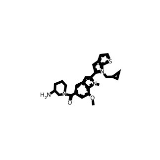 COc1cc(C(=O)N2CCCC(N)C2)cc2cc(-c3cc4ccsc4n3CC3CC3)n(C)c12